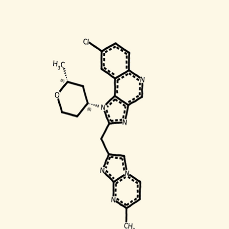 Cc1ccn2cc(Cc3nc4cnc5ccc(Cl)cc5c4n3[C@@H]3CCO[C@H](C)C3)nc2n1